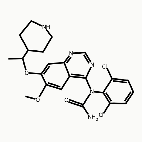 COc1cc2c(N(C(N)=O)c3c(Cl)cccc3Cl)ncnc2cc1OC(C)C1CCNCC1